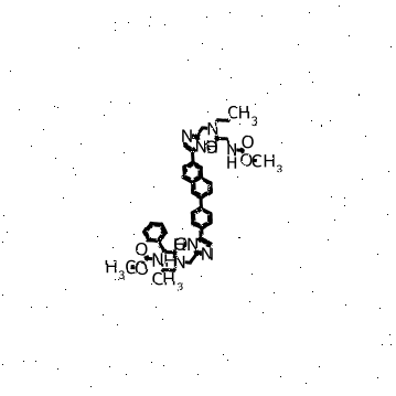 CCCN(Cc1ncc(-c2ccc3cc(-c4ccc(-c5cnc(CN(CCC)C(=O)[C@H](NC(=O)OC)c6ccccc6)[nH]5)cc4)ccc3c2)[nH]1)C(=O)CNC(=O)OC